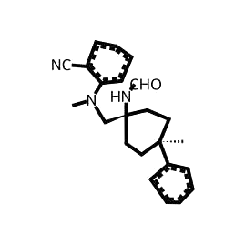 CN(C[C@]1(NC=O)CC[C@](C)(c2ccccc2)CC1)c1ccccc1C#N